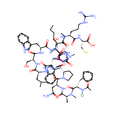 CCCC[C@@H](C(=O)N(C)[C@@H](CCCC)C(=O)N[C@@H](CCCNC(=N)N)C(=O)N[C@@H](CS)C(=O)O)N(C)C(=O)[C@H](Cc1c[nH]c2ccccc12)NC(=O)[C@H](CO)NC(=O)[C@H](Cc1c[nH]c2ccccc12)NC(=O)[C@H](CO)NC(=O)[C@H](CC(C)C)NC(=O)[C@H](Cc1c[nH]cn1)NC(=O)[C@@H]1CCCN1C(=O)[C@H](CC(N)=O)NC(=O)[C@H](C)N(C)C(=O)[C@H](Cc1ccccc1)N(Cl)C(C)=O